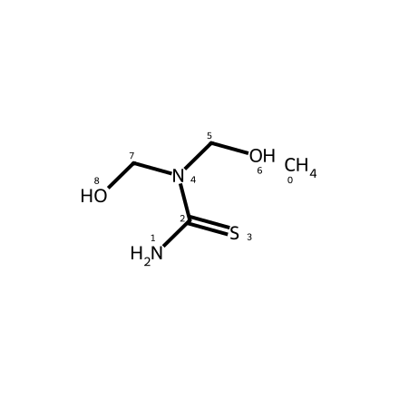 C.NC(=S)N(CO)CO